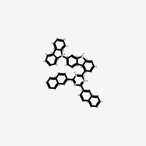 c1ccc2cc(-c3nc(-c4ccc5ccccc5c4)nc(-c4cccc5oc6cc(-n7c8ccccc8c8ccccc87)ccc6c45)n3)ccc2c1